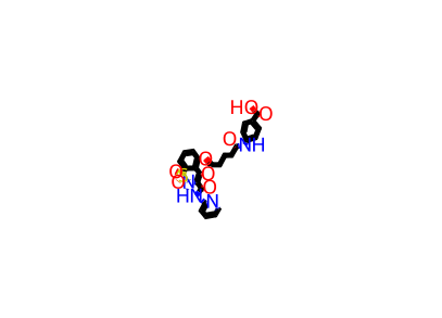 CN1C(C(=O)Nc2ccccn2)=C(OC(=O)CCCC(=O)Nc2ccc(C(=O)O)cc2)c2ccccc2S1(=O)=O